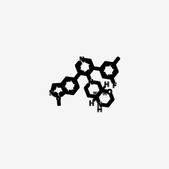 Cc1cc(F)cc(-c2cncc(-c3ccc4c(cnn4C)c3)c2N2CC[C@H]3NCCO[C@@H]3C2)c1